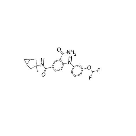 CC1(NC(=O)c2ccc(Nc3cccc(OC(F)F)c3)c(C(N)=O)c2)CC2CC2C1